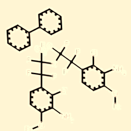 CCOc1ccc(C(F)(F)C(F)(OC(F)(C(F)(F)F)C(F)(F)c2ccc(OCC)c(N)c2Cl)C(F)(F)F)c(Cl)c1N.c1ccc(-c2ccccc2)cc1